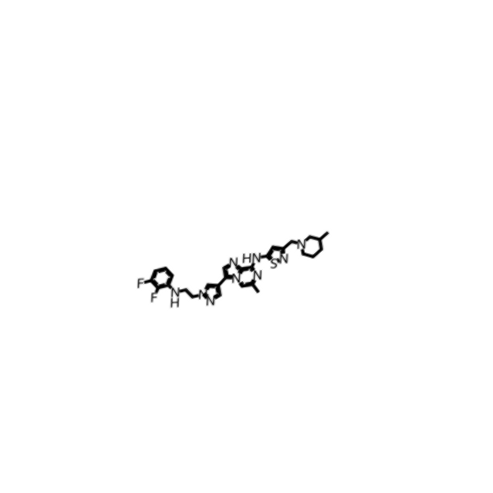 Cc1cn2c(-c3cnn(CCNc4cccc(F)c4F)c3)cnc2c(Nc2cc(CN3CCCC(C)C3)ns2)n1